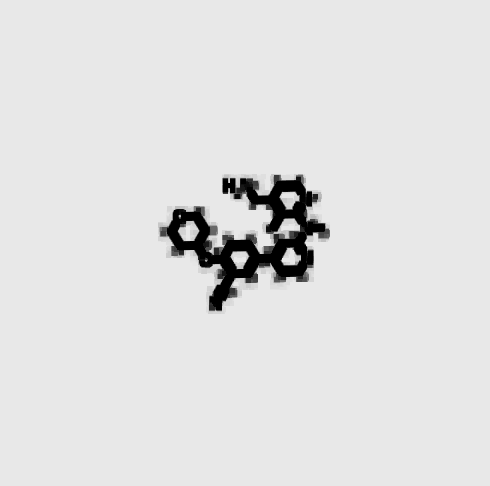 Cc1c(CN)ccnc1N(C)c1cc(-c2ccc(OC3CCOCC3)c(C#N)c2)ccn1